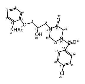 CC(=O)Nc1ccccc1OCC(O)CN1CCN(C(=O)c2ccc(Cl)cc2)CC1=O